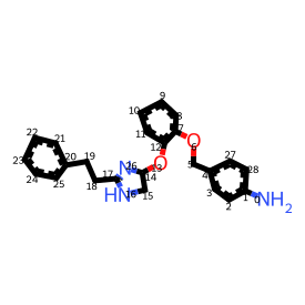 Nc1ccc(COc2ccccc2OC2CNC(CCc3ccccc3)=N2)cc1